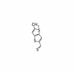 Cc1cc2sc(C=S)cc2s1